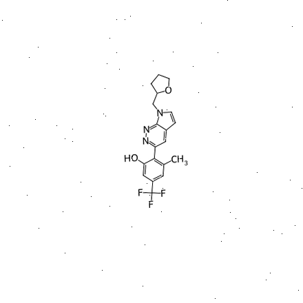 Cc1cc(C(F)(F)F)cc(O)c1-c1cc2ccn(CC3CCCO3)c2nn1